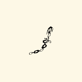 O=c1n(CCOc2ncccn2)nc2ccc(-c3ccc(Oc4ccc(Cl)cc4)cc3)cn12